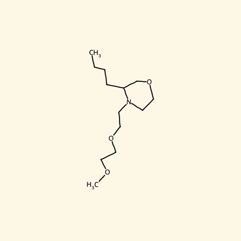 CCCCC1COCCN1CCOCCOC